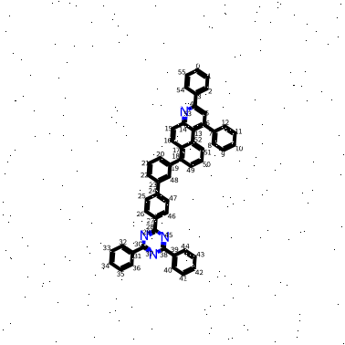 c1ccc(-c2cc(-c3ccccc3)c3c(ccc4c(-c5cccc(-c6ccc(-c7nc(-c8ccccc8)nc(-c8ccccc8)n7)cc6)c5)cccc43)n2)cc1